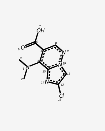 CN(C)c1c(C(=O)O)cnn2cc(Cl)nc12